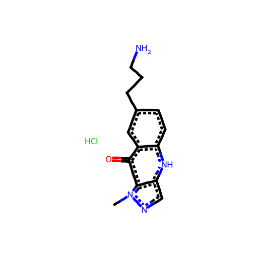 Cl.Cn1ncc2[nH]c3ccc(CCCN)cc3c(=O)c21